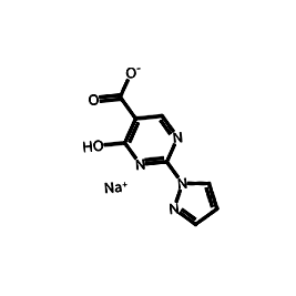 O=C([O-])c1cnc(-n2cccn2)nc1O.[Na+]